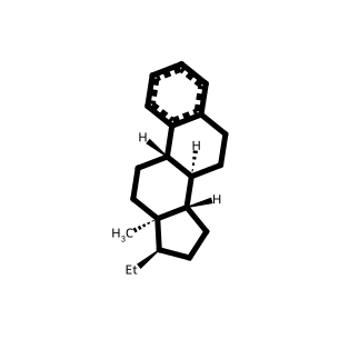 CC[C@@H]1CC[C@H]2[C@@H]3CCc4ccccc4[C@H]3CC[C@]12C